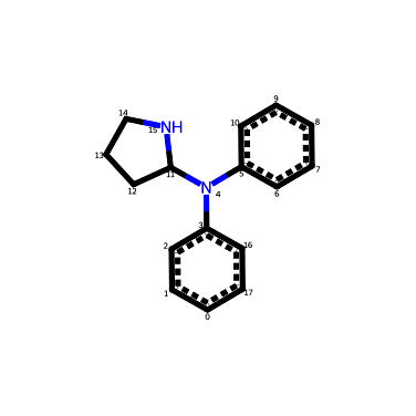 c1ccc(N(c2ccccc2)C2CCCN2)cc1